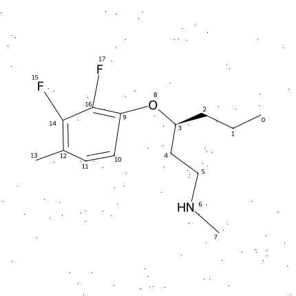 CCC[C@@H](CCNC)Oc1ccc(C)c(F)c1F